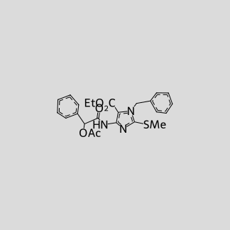 CCOC(=O)c1c(NC(=O)C(OC(C)=O)c2ccccc2)nc(SC)n1Cc1ccccc1